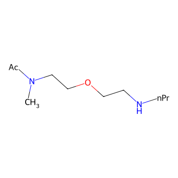 CCCNCCOCCN(C)C(C)=O